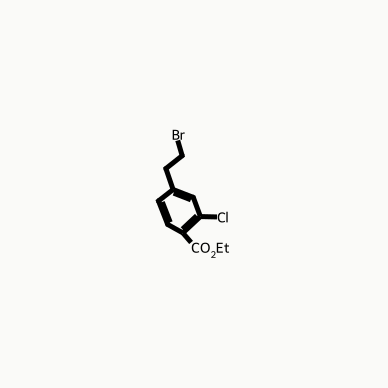 CCOC(=O)c1ccc(CCBr)cc1Cl